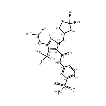 CS(=N)(=O)c1cc(NC(=O)c2c(C(F)(F)F)c(OC(F)F)nn2CC2CCC(F)(F)C2)ccn1